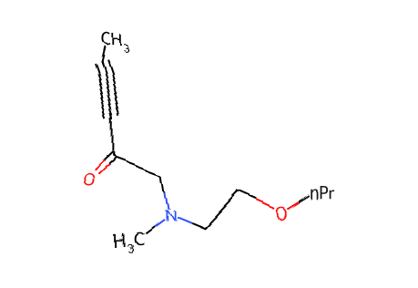 CC#CC(=O)CN(C)CCOCCC